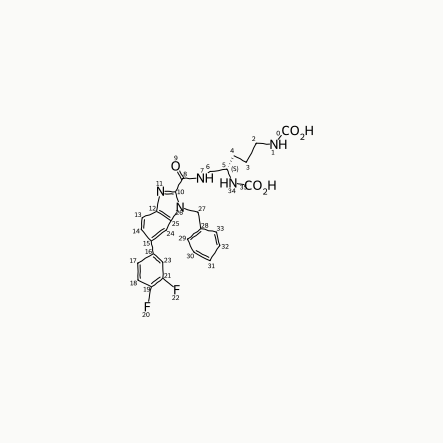 O=C(O)NCCC[C@@H](CNC(=O)c1nc2ccc(-c3ccc(F)c(F)c3)cc2n1Cc1ccccc1)NC(=O)O